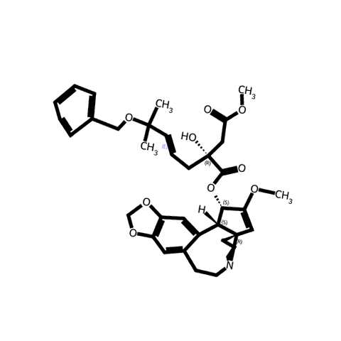 COC(=O)C[C@](O)(C/C=C/C(C)(C)OCc1ccccc1)C(=O)O[C@@H]1C(OC)=C[C@]23CCCN2CCc2cc4c(cc2[C@H]13)OCO4